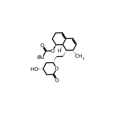 CCC(C)C(=O)O[C@H]1CCC=C2C=C[C@H](C)[C@H](CC[C@H]3C[C@@H](O)CC(=O)O3)[C@H]21